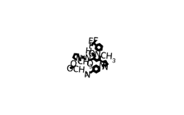 CC(=O)[O-].Cc1c(-c2ccnn2-c2ccc(C#N)cc2)cc(C(=O)NCC[N+]2(C)CCCC2)c(=O)n1-c1cccc(C(F)(F)F)c1